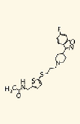 CC(=O)NCc1ccc(SCCCN2CCC(c3noc4cc(F)ccc34)CC2)s1